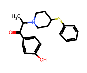 CC(C(=O)c1ccc(O)cc1)N1CCC(Sc2ccccc2)CC1